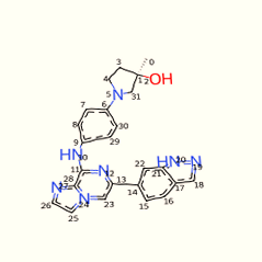 C[C@@]1(O)CCN(c2ccc(Nc3nc(-c4ccc5cn[nH]c5c4)cn4ccnc34)cc2)C1